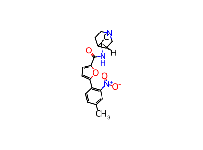 Cc1ccc(-c2ccc(C(=O)N[C@H]3CN4CCC3CC4)o2)c([N+](=O)[O-])c1